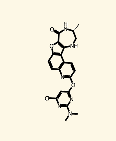 C[C@@H]1CNc2c(oc3ccc4nc(Oc5cc(Cl)nc(N(C)C)n5)ccc4c23)C(=O)N1